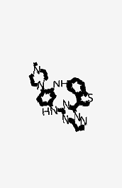 CN1CCN(c2ccc(Nc3nc(-c4csc5ccccc45)n4nccc4n3)cc2N)CC1